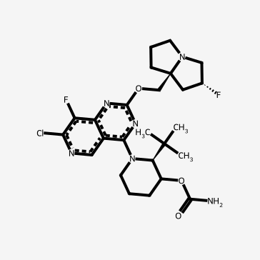 CC(C)(C)[C@H]1C(OC(N)=O)CCCN1c1nc(OC[C@@]23CCCN2C[C@H](F)C3)nc2c(F)c(Cl)ncc12